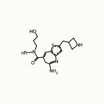 CCCN(CCCO)C(=O)C1=Cc2sc(CC3CNC3)cc2N=C(N)C1